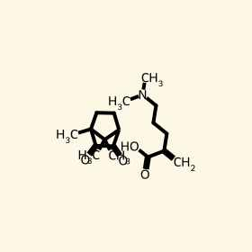 C=C(CCCN(C)C)C(=O)O.CC12CCC(C(=O)C1=O)C2(C)C